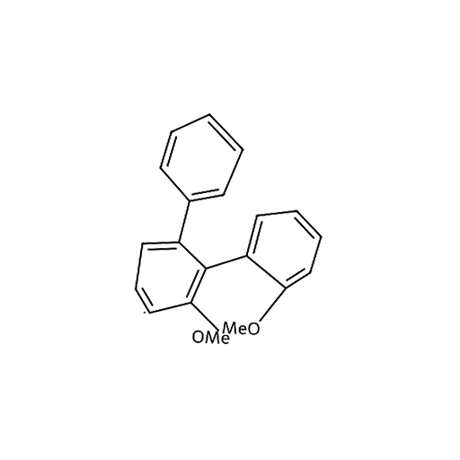 COc1[c]ccc(-c2ccccc2)c1-c1ccccc1OC